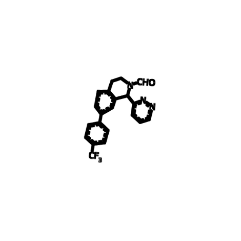 O=CN1CCc2ccc(-c3ccc(C(F)(F)F)cc3)cc2C1c1cccnn1